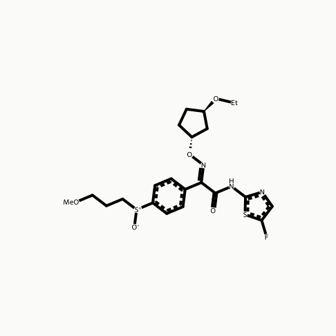 CCO[C@@H]1CC[C@@H](O/N=C(/C(=O)Nc2ncc(F)s2)c2ccc([S+]([O-])CCCOC)cc2)C1